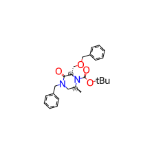 C[C@H]1CN(Cc2ccccc2)C(=O)[C@H](COCc2ccccc2)N1C(=O)OC(C)(C)C